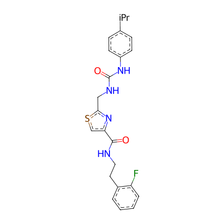 CC(C)c1ccc(NC(=O)NCc2nc(C(=O)NCCc3ccccc3F)cs2)cc1